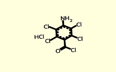 Cl.Nc1c(Cl)c(Cl)c(C(=O)Cl)c(Cl)c1Cl